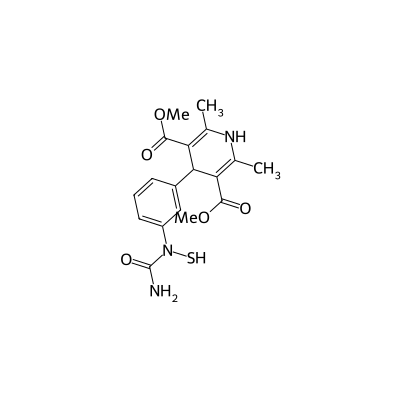 COC(=O)C1=C(C)NC(C)=C(C(=O)OC)C1c1cccc(N(S)C(N)=O)c1